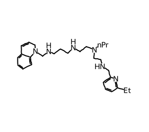 CCCN(CCNCCCNCN1CC=Cc2ccccc21)CCNCc1cccc(CC)n1